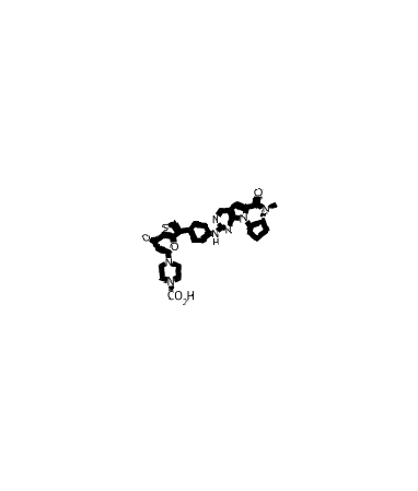 CN(C)C(=O)c1cc2cnc(Nc3ccc(-c4csc5c(=O)cc(N6CCN(C(=O)O)CC6)oc45)cc3)nc2n1C1CCCC1